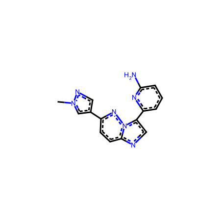 Cn1cc(-c2ccc3ncc(-c4cccc(N)n4)n3n2)cn1